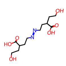 O=C(O)C(CCO)CCN=NCCC(CCO)C(=O)O